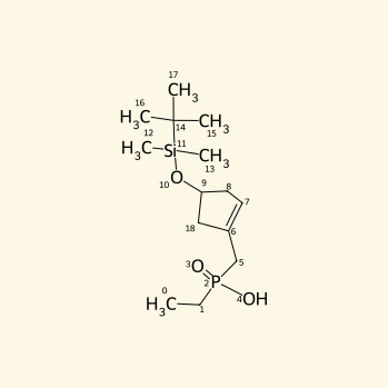 CCP(=O)(O)CC1=CCC(O[Si](C)(C)C(C)(C)C)C1